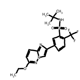 CCOc1ccc2nc(-c3ccc(C(F)(F)F)c(S(=O)(=O)NC(C)(C)C)c3)cn2n1